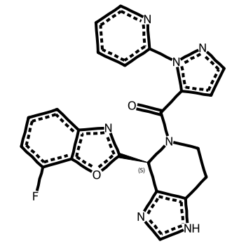 O=C(c1ccnn1-c1ccccn1)N1CCc2[nH]cnc2[C@H]1c1nc2cccc(F)c2o1